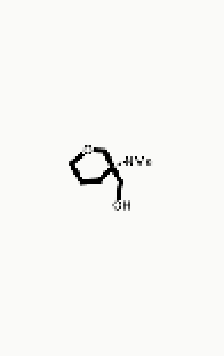 CN[C@]1(CO)CCCOC1